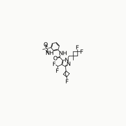 CC1(Cn2nc(C34CC(F)(C3)C4)c(C(F)F)c2C(=O)Nc2cccc(S(C)(=N)=O)c2)CC(F)(F)C1